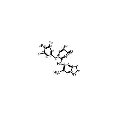 Cc1cc2c(cc1Nc1nc(=O)c(F)cn1Cc1cc(F)c(F)c(F)c1)CCO2